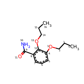 CCCOc1cccc(C(N)=O)c1OCCC